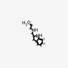 C=CCNCC1Cc2ccccc2N1